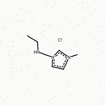 CCN[n+]1ccn(C)c1.[Cl-]